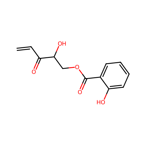 C=CC(=O)C(O)COC(=O)c1ccccc1O